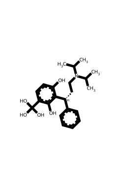 CC(C)N(CC[C@H](c1ccccc1)c1c(O)ccc(C(O)(O)O)c1O)C(C)C